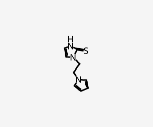 S=c1[nH]ccn1CCn1cccc1